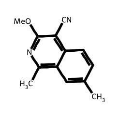 COc1nc(C)c2cc(C)ccc2c1C#N